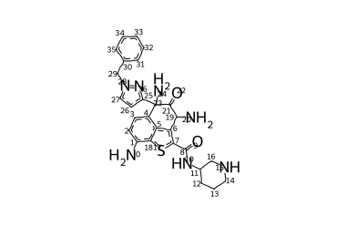 Nc1ccc2c3c(c(C(=O)NC4CCCNC4)sc13)C(N)C(=O)C2(N)c1ccn(Cc2ccccc2)n1